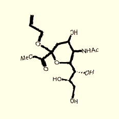 C=CCOC1(C(=O)OC)CC(O)C(NC(C)=O)C([C@H](O)[C@H](O)CO)O1